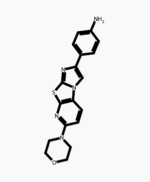 Nc1ccc(-c2cn3c(n2)sc2nc(N4CCOCC4)ccc23)cc1